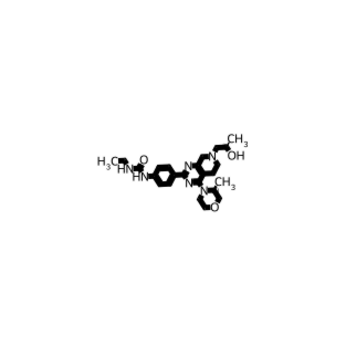 CCNC(=O)Nc1ccc(-c2nc3c(c(N4CCOC[C@@H]4C)n2)CCN(C[C@H](C)O)C3)cc1